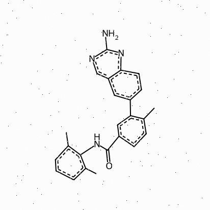 Cc1ccc(C(=O)Nc2c(C)cccc2C)cc1-c1ccc2nc(N)ncc2c1